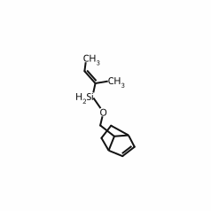 C/C=C(\C)[SiH2]OCC1C2C=CC1CC2